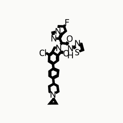 O=C(Nc1nccs1)C(c1ncn2c1CC(F)C2)N1Cc2c(Cl)cc(-c3ccc(C4CCN(C5CC5)CC4)cc3)cc2C1=O